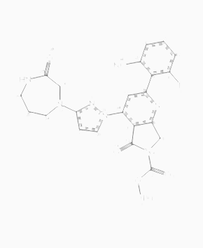 CC(C)(C)OC(=O)N1Cc2nc(-c3c(F)cccc3C#N)cc(-n3ccc(N4CCCNC(=O)C4)n3)c2C1=O